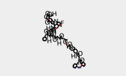 CCC1(O)C(=O)OCc2c1cc1n(c2=O)Cc2c-1nc1cc(F)c(C)c3c1c2C(NC(=O)CNC(=O)C(Cc1ccccc1)NC(=O)CNC(=O)CNC(=O)CCC(C)OCCC(C)C(=O)N1CCC2(CCC(C(=O)NCCC(=O)N4Cc5ccccc5/C=C\c5ccccc54)CC2)CC1)CC3